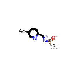 CC(=O)c1ccc(/C=N/[S@@+]([O-])C(C)(C)C)nc1